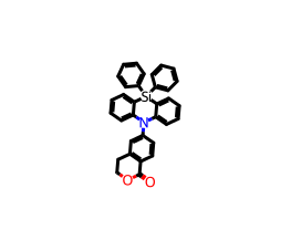 O=C1OCCc2cc(N3c4ccccc4[Si](c4ccccc4)(c4ccccc4)c4ccccc43)ccc21